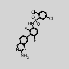 Nc1ncc2ccc(-c3c(F)ccc(NS(=O)(=O)c4cc(Cl)ccc4Cl)c3F)cc2n1